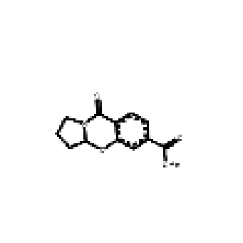 COC(=O)c1ccc2c(c1)OC1CCCN1C2=O